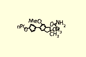 CCCOc1ccc(-c2cc3c(cc2OC)C(OC(N)=O)C(C)(C)C3)cc1